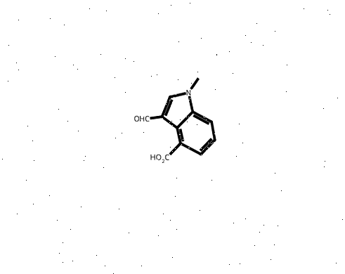 Cn1cc(C=O)c2c(C(=O)O)cccc21